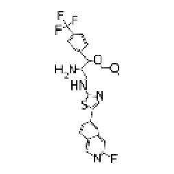 COCOC(c1ccc(C(F)(F)F)cc1)C(N)CNc1ncc(-c2ccc3cnc(F)cc3c2)s1